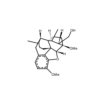 COc1ccc2c3c1O[C@H]1[C@@]4(OC)CC[C@@]5([C@@H](C)[C@@H]4CO)[C@@H](C2)N(C)CC[C@]315